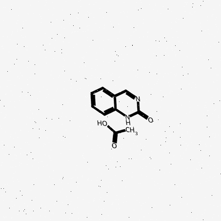 CC(=O)O.O=c1ncc2ccccc2[nH]1